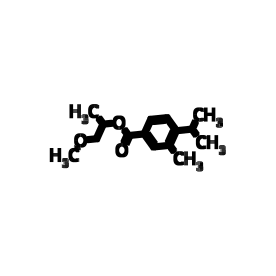 COCC(C)OC(=O)c1ccc(C(C)C)c(C)c1